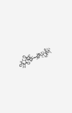 Cn1c(=O)n(C2CCC(=O)NC2=O)c2ccc(C#Cc3cnc(N4CC5(CCCN(C(=O)OC(C)(C)C)C5)C4)nc3)cc21